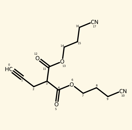 C#CCC(C(=O)OCCCC#N)C(=O)OCCCC#N